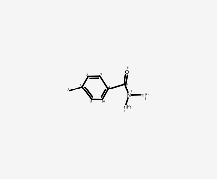 [CH2]c1ccc(C(=O)N(CCC)CCC)cc1